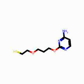 Nc1ccnc(OCCCOCCS)n1